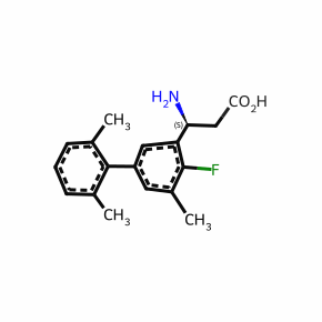 Cc1cc(-c2c(C)cccc2C)cc([C@@H](N)CC(=O)O)c1F